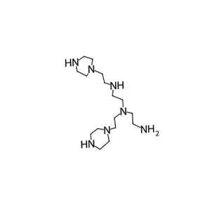 NCCN(CCNCCN1CCNCC1)CCN1CCNCC1